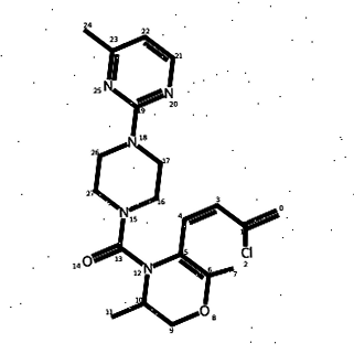 C=C(Cl)/C=C\C1=C(C)OCC(C)N1C(=O)N1CCN(c2nccc(C)n2)CC1